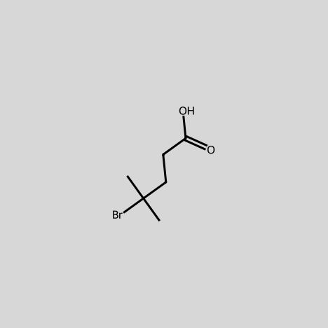 CC(C)(Br)CCC(=O)O